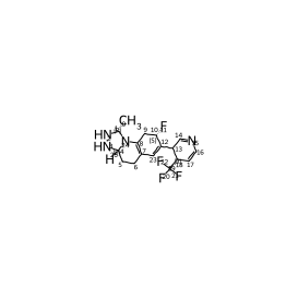 C[C@H]1NN[C@H]2CCC3=C(C[C@H](F)C(C4C=NC=C[C@H]4C(F)(F)F)=C3)N21